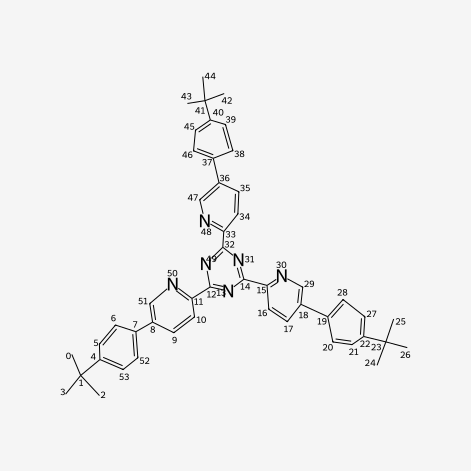 CC(C)(C)c1ccc(-c2ccc(-c3nc(-c4ccc(-c5ccc(C(C)(C)C)cc5)cn4)nc(-c4ccc(-c5ccc(C(C)(C)C)cc5)cn4)n3)nc2)cc1